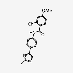 COc1ccc(C(=O)Nc2ccc(-c3csc(C)n3)cc2)c(Cl)c1